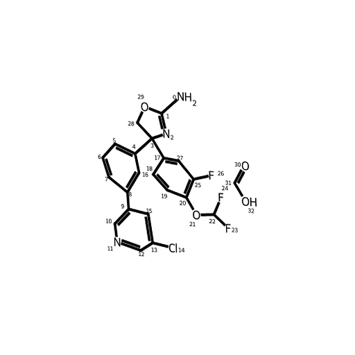 NC1=NC(c2cccc(-c3cncc(Cl)c3)c2)(c2ccc(OC(F)F)c(F)c2)CO1.O=CO